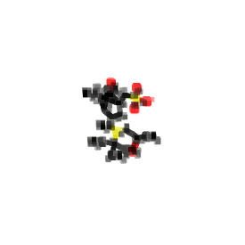 CC(=O)C[S+](C)C(C)(C)C.CC1(C)C2CCC1(CS(=O)(=O)[O-])C(=O)C2